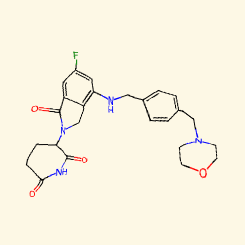 O=C1CCC(N2Cc3c(NCc4ccc(CN5CCOCC5)cc4)cc(F)cc3C2=O)C(=O)N1